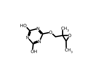 CC1OC1(C)COc1nc(O)nc(O)n1